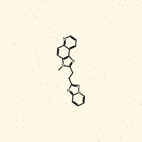 Cn1c(CCc2nc3ccccn3n2)nc2c3cccnc3ccc21